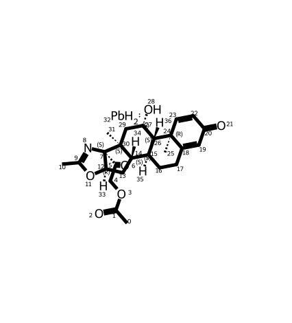 CC(=O)OCC(=O)[C@@]12N=C(C)O[C@@H]1C[C@H]1[C@@H]3CCC4=CC(=O)C=C[C@]4(C)[C@H]3[C@@H](O)C[C@@]12C.[PbH2]